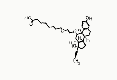 CC#C[C@]1(O)CC[C@H]2[C@@H]3CCc4cc(O)ccc4[C@H]3[C@@H](OCCOCCCCCCCC(=O)O)C[C@@]21C